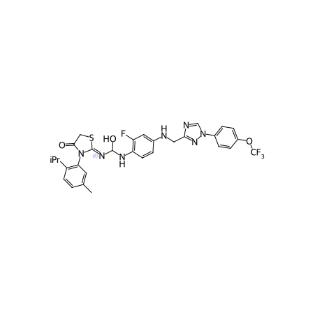 Cc1ccc(C(C)C)c(N2C(=O)CS/C2=N\C(O)Nc2ccc(NCc3ncn(-c4ccc(OC(F)(F)F)cc4)n3)cc2F)c1